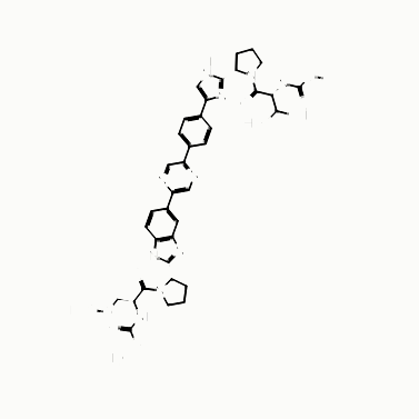 COC[C@H](NC(=O)OC)C(=O)N1CCC[C@H]1c1nc2cc(-c3cnc(-c4ccc(-c5c[nH]c([C@@H]6CCCN6C(=O)[C@@H](NC(=O)OC)C(C)C)n5)cc4)cn3)ccc2[nH]1